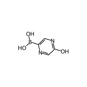 OB(O)c1cnc(O)cn1